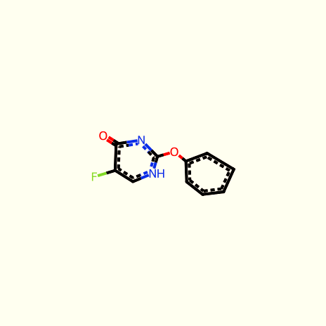 O=c1nc(Oc2ccccc2)[nH]cc1F